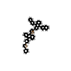 C1=CCC(c2ccc(C3=CC=C(c4c5ccccc5c(-c5ccc(-c6ccc7c(-c8ccc9ccccc9c8)c8ccccc8c(-c8ccc9ccccc9c8)c7c6)s5)c5ccccc45)CC3)s2)C=C1